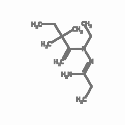 C=C(N(CC)/N=C(\N)CC)C(C)(C)CC